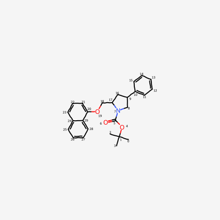 CC(C)(C)OC(=O)N1CC(c2ccccc2)CC1COc1cccc2ccccc12